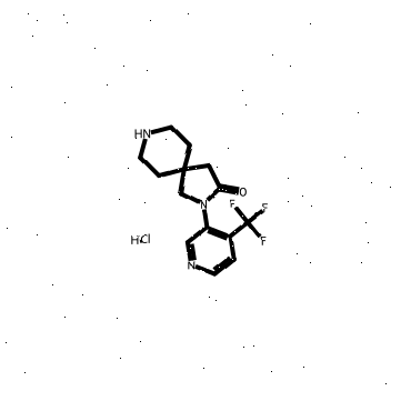 Cl.O=C1CC2(CCNCC2)CN1c1cnccc1C(F)(F)F